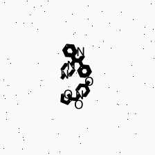 CN1CCN(c2c(-c3ccc(OC4CCN(C(=O)C5CCCO5)CC4)cc3)cnc3ccccc23)CC1